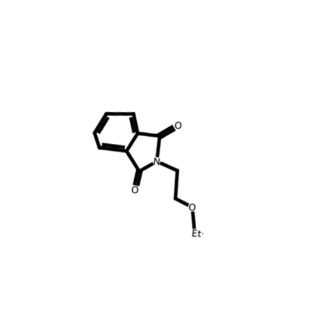 C[CH]OCCN1C(=O)c2ccccc2C1=O